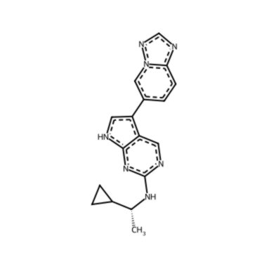 C[C@@H](Nc1ncc2c(-c3ccc4ncnn4c3)c[nH]c2n1)C1CC1